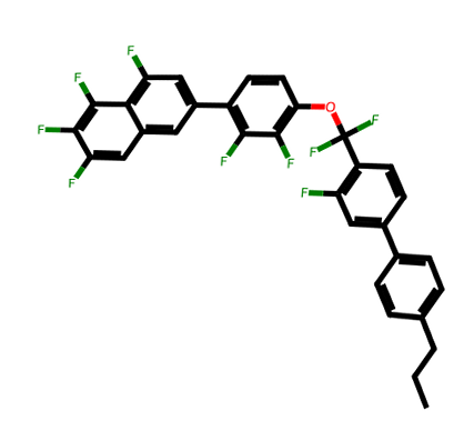 CCCc1ccc(-c2ccc(C(F)(F)Oc3ccc(-c4cc(F)c5c(F)c(F)c(F)cc5c4)c(F)c3F)c(F)c2)cc1